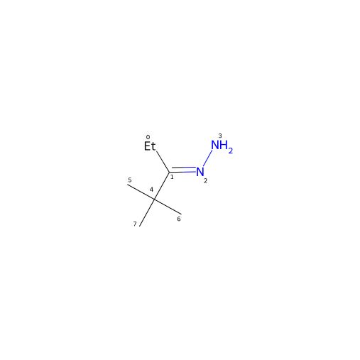 CC/C(=N\N)C(C)(C)C